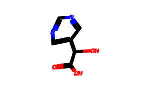 O=C(O)C(O)c1cncnc1